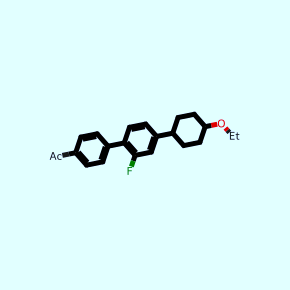 CCOC1CCC(c2ccc(-c3ccc(C(C)=O)cc3)c(F)c2)CC1